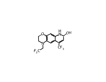 OC1C=C(C(F)(F)F)c2cc3c(cc2N1)OCCN3CC(F)(F)F